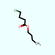 CCCCOC(=O)CCCCl